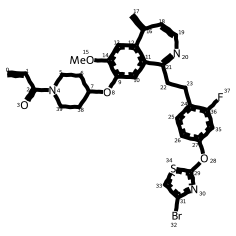 C=CC(=O)N1CCC(Oc2cc3c(cc2OC)C(=C)C=CN=C3CCc2ccc(Oc3nc(Br)cs3)cc2F)CC1